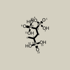 CC(CC(P(=O)(O)O)P(=O)(O)O)P(=O)(O)O